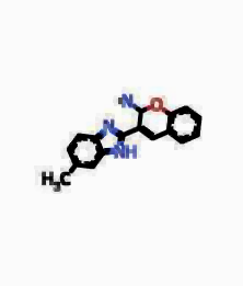 Cc1ccc2nc(C3=Cc4ccccc4OC3[N])[nH]c2c1